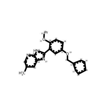 Cc1cnc2[nH]c(-c3cc(OCc4ccccc4)ccc3OC(C)C)nc2c1